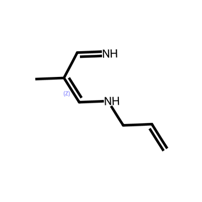 C=CCN/C=C(/C)C=N